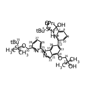 CCCC(O)(N[S@+]([O-])C(C)(C)C)c1cccc(-c2cc(OCC(C)(C)O)c3cnn(-c4cccc(CO[Si](C)(C)C(C)(C)C)n4)c3c2)n1